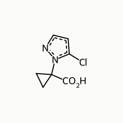 O=C(O)C1(n2nccc2Cl)CC1